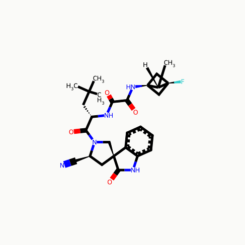 C[C@@H]1[C@]2(F)C[C@@]1(NC(=O)C(=O)N[C@@H](CC(C)(C)C)C(=O)N1C[C@]3(C[C@H]1C#N)C(=O)Nc1ccccc13)C2